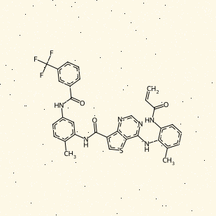 C=CC(=O)Nc1cccc(C)c1Nc1ncnc2c(C(=O)Nc3cc(NC(=O)c4cccc(C(F)(F)F)c4)ccc3C)csc12